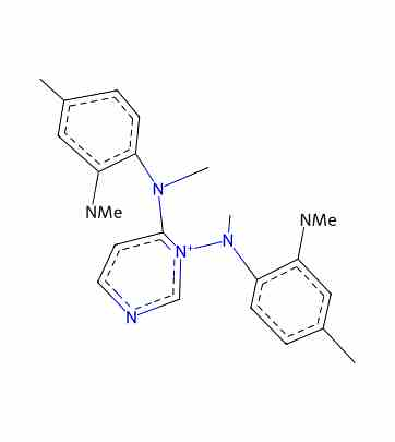 CNc1cc(C)ccc1N(C)c1ccnc[n+]1N(C)c1ccc(C)cc1NC